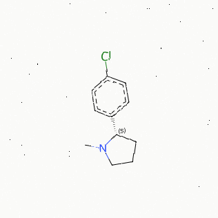 CN1CCC[C@H]1c1ccc(Cl)cc1